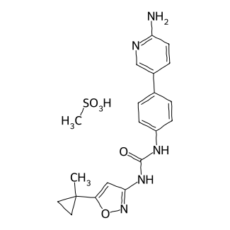 CC1(c2cc(NC(=O)Nc3ccc(-c4ccc(N)nc4)cc3)no2)CC1.CS(=O)(=O)O